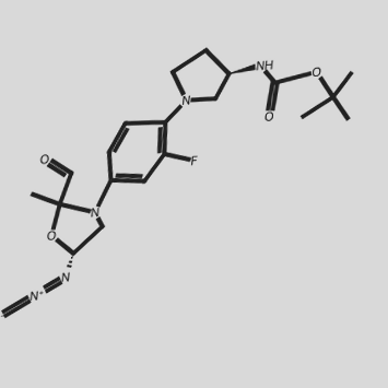 CC(C)(C)OC(=O)N[C@@H]1CCN(c2ccc(N3C[C@H](N=[N+]=[N-])OC3(C)C=O)cc2F)C1